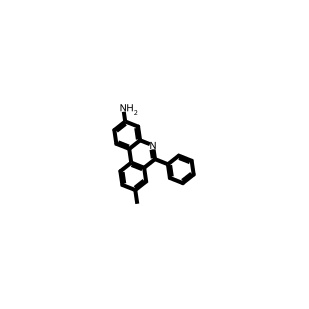 Cc1ccc2c(c1)c(-c1ccccc1)nc1cc(N)ccc12